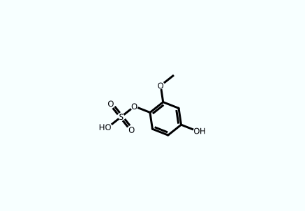 COc1cc(O)ccc1OS(=O)(=O)O